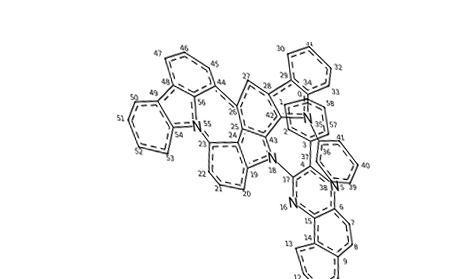 c1ccc(-c2nc3ccc4ccccc4c3nc2-n2c3cccc4c3c3c(cc5c6ccccc6n(-c6ccccc6)c5c32)c2cccc3c5ccccc5n4c23)cc1